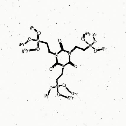 CC(C)O[Si](CCn1c(=O)n(CC[Si](OC(C)C)(OC(C)C)OC(C)C)c(=O)n(CC[Si](OC(C)C)(OC(C)C)OC(C)C)c1=O)(OC(C)C)OC(C)C